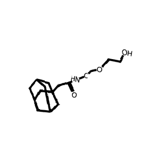 O=C(CC12CC3CC(CC(C3)C1)C2)NCCOCCO